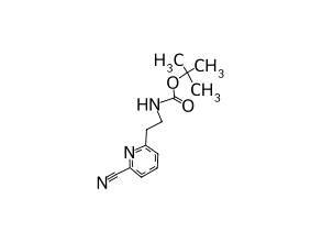 CC(C)(C)OC(=O)NCCc1cccc(C#N)n1